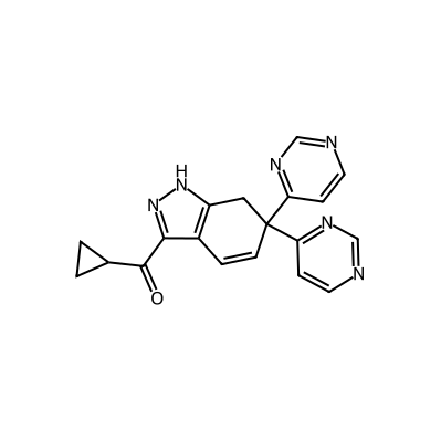 O=C(c1n[nH]c2c1C=CC(c1ccncn1)(c1ccncn1)C2)C1CC1